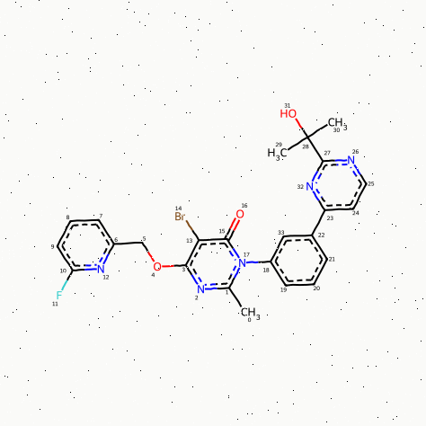 Cc1nc(OCc2cccc(F)n2)c(Br)c(=O)n1-c1cccc(-c2ccnc(C(C)(C)O)n2)c1